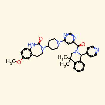 COc1ccc2c(c1)CCN(C1CCN(c3cc(C(=O)N4CC(C)(C)c5ccccc5C4c4ccncc4)ncn3)CC1)C(=O)N2